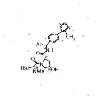 CN[C@H](C(=O)N1C[C@H](O)C[C@H]1C(=O)N[C@H](C(C)=O)c1ccc(-c2scnc2C)cc1)C(C)(C)C